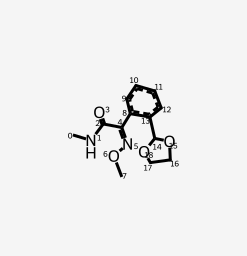 CNC(=O)/C(=N\OC)c1ccccc1C1OCCO1